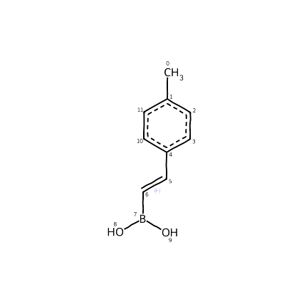 Cc1ccc(/C=C/B(O)O)cc1